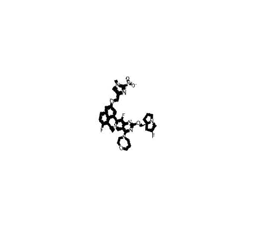 C#Cc1c(F)ccc2cc(OCc3cn(C)c([N+](=O)[O-])n3)cc(-c3ncc4c(N5CCCOCC5)nc(OC[C@@]56CCCN5C[C@H](F)C6)nc4c3F)c12